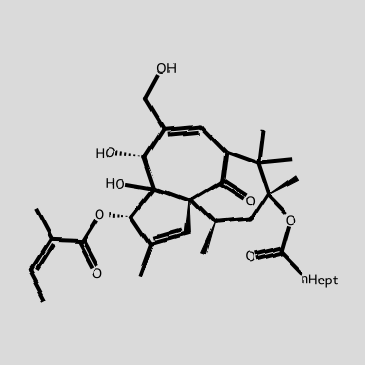 C/C=C(/C)C(=O)O[C@H]1C(C)=C[C@]23C(=O)C(C=C(CO)[C@@H](O)C12O)C(C)(C)[C@](C)(OC(=O)CCCCCCC)C[C@H]3C